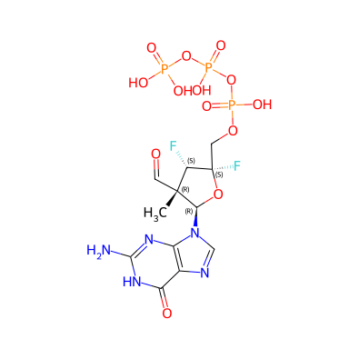 C[C@]1(C=O)[C@H](n2cnc3c(=O)[nH]c(N)nc32)O[C@](F)(COP(=O)(O)OP(=O)(O)OP(=O)(O)O)[C@H]1F